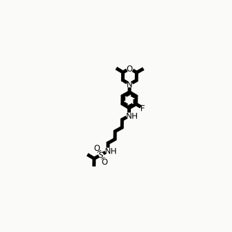 CC1CN(c2ccc(NCCCCCNS(=O)(=O)C(C)C)c(F)c2)CC(C)O1